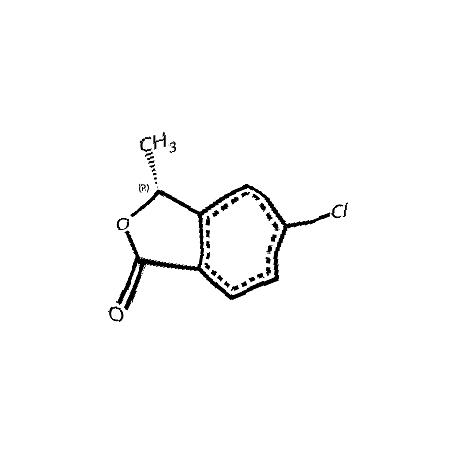 C[C@H]1OC(=O)c2ccc(Cl)cc21